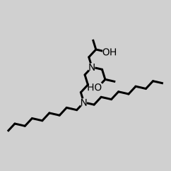 CCCCCCCCCN(CCCCCCCCC)CCCN(CC(C)O)CC(C)O